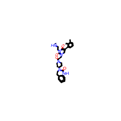 CNCCn1c(=O)c(-c2cccc(C)c2C)cn(CC(=O)N2CCC(N3CCc4ccccc4NC3=O)CC2)c1=O